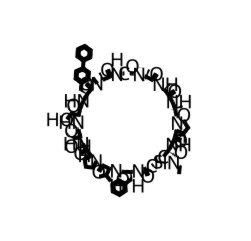 CCNC(=O)[C@@H]1CSCC(=O)N[C@@H](Cc2ccccc2)C(=O)NC(C(C)C)C(=O)N2CCC[C@H]2C(=O)N[C@@H]([C@@H](C)O)C(=O)N[C@@H]([C@@H](C)O)C(=O)N[C@@H](Cc2ccc(-c3ccccc3)cc2)C(=O)N(C)[C@@H](C)C(=O)NCC(=O)N(C)[C@@H](C)C(=O)N[C@@H](C)C(=O)N[C@@H](C)C(=O)N2CCC[C@H]2C(=O)N1